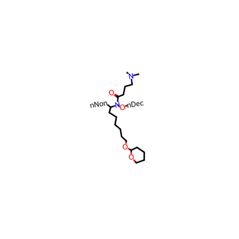 CCCCCCCCCCON(C(=O)CCCN(C)C)C(CCCCCCCCC)CCCCCCOC1CCCCO1